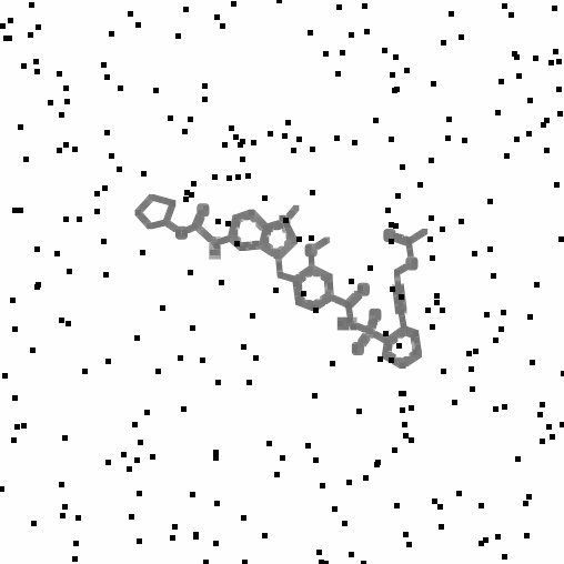 COc1cc(C(=O)NS(=O)(=O)c2ccccc2C#CCOC(C)=O)ccc1Cc1cn(C)c2ccc(NC(=O)OC3CCCC3)cc12